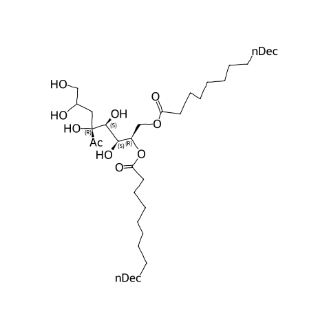 CCCCCCCCCCCCCCCCCC(=O)OC[C@@H](OC(=O)CCCCCCCCCCCCCCCCC)[C@@H](O)[C@H](O)[C@](O)(CC(O)CO)C(C)=O